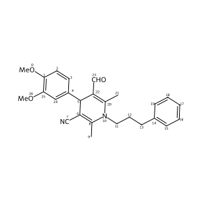 COc1ccc(C2C(C#N)=C(C)N(CCCc3ccccc3)C(C)=C2C=O)cc1OC